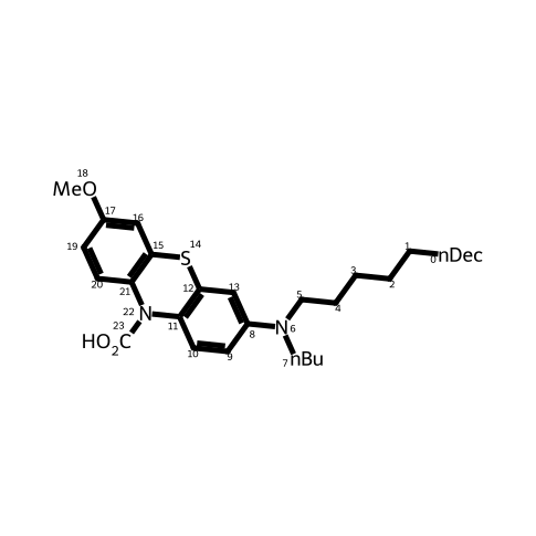 CCCCCCCCCCCCCCCN(CCCC)c1ccc2c(c1)Sc1cc(OC)ccc1N2C(=O)O